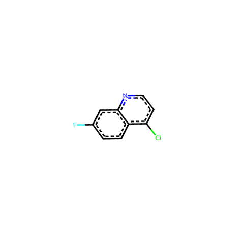 Fc1[c]c2nccc(Cl)c2cc1